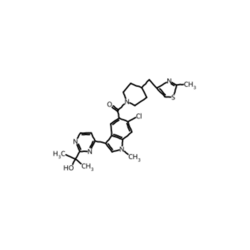 Cc1nc(CC2CCN(C(=O)c3cc4c(-c5ccnc(C(C)(C)O)n5)cn(C)c4cc3Cl)CC2)cs1